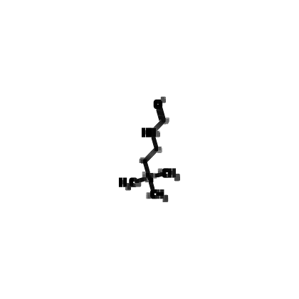 C[N+](C)(C)CCN[C]=O